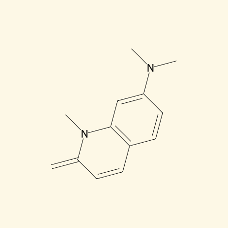 C=C1C=Cc2ccc(N(C)C)cc2N1C